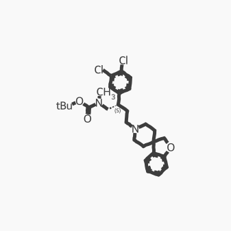 CN(C[C@@H](CCN1CCC2(CC1)COc1ccccc12)c1ccc(Cl)c(Cl)c1)C(=O)OC(C)(C)C